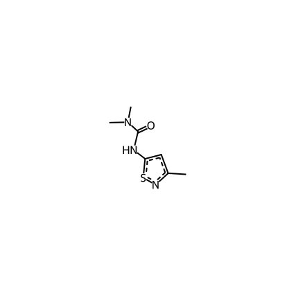 Cc1cc(NC(=O)N(C)C)sn1